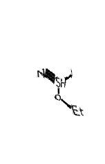 CCO[SH](#N)I